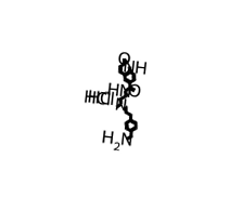 CN(CCCc1ccc(CN)cc1)CCNC(=O)c1ccc2[nH]c(=O)ccc2c1.Cl.Cl